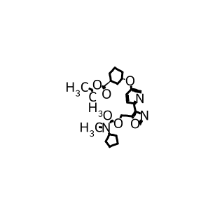 CC(C)OC(=O)[C@H]1CCC[C@H](Oc2ccc(-c3ncoc3COC(=O)N(C)C3CCCC3)nc2)C1